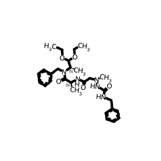 CCOC(OCC)[C@H](C)N(Cc1ccccc1)C(=O)[C@H](C)NC(=O)CN(C)NC(=O)NCc1ccccc1